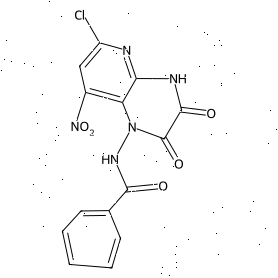 O=C(Nn1c(=O)c(=O)[nH]c2nc(Cl)cc([N+](=O)[O-])c21)c1ccccc1